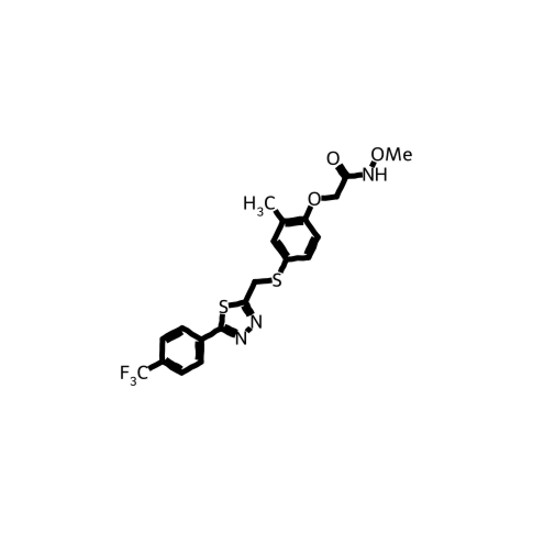 CONC(=O)COc1ccc(SCc2nnc(-c3ccc(C(F)(F)F)cc3)s2)cc1C